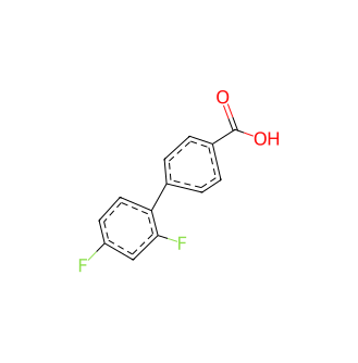 O=C(O)c1ccc(-c2ccc(F)cc2F)cc1